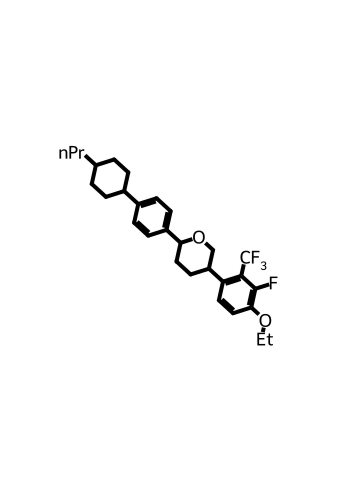 CCCC1CCC(c2ccc(C3CCC(c4ccc(OCC)c(F)c4C(F)(F)F)CO3)cc2)CC1